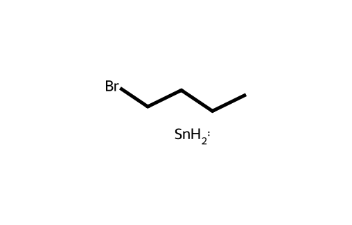 CCCCBr.[SnH2]